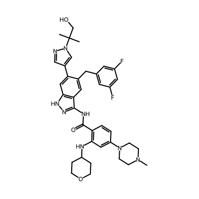 CN1CCN(c2ccc(C(=O)Nc3n[nH]c4cc(-c5cnn(C(C)(C)CO)c5)c(Cc5cc(F)cc(F)c5)cc34)c(NC3CCOCC3)c2)CC1